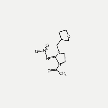 CC(=O)N1CCN(CC2CCOC2)/C1=N\[N+](=O)[O-]